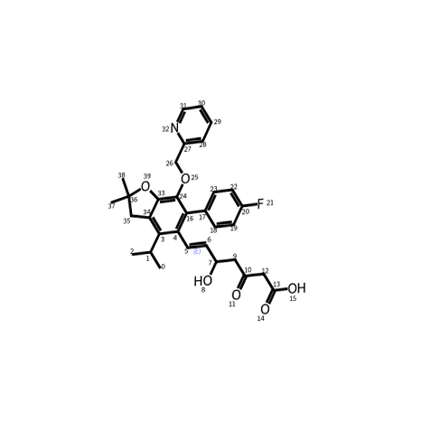 CC(C)c1c(/C=C/C(O)CC(=O)CC(=O)O)c(-c2ccc(F)cc2)c(OCc2ccccn2)c2c1CC(C)(C)O2